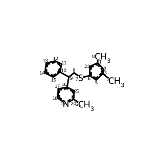 Cc1cc(C)cc(SCC(c2ccccc2)c2ccnc(C)c2)c1